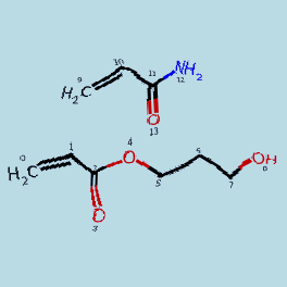 C=CC(=O)OCCCO.C=CC(N)=O